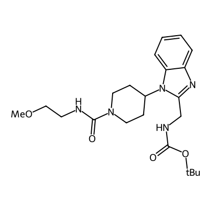 COCCNC(=O)N1CCC(n2c(CNC(=O)OC(C)(C)C)nc3ccccc32)CC1